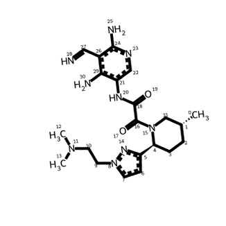 C[C@@H]1CC[C@@H](c2ccn(CCN(C)C)n2)N(C(=O)C(=O)Nc2cnc(N)c(C=N)c2N)C1